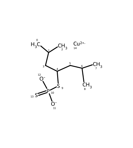 CC(C)CC(CC(C)C)SP([O-])([O-])=S.[Cu+2]